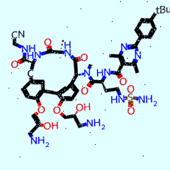 Cc1nc(-c2ccc(C(C)(C)C)cc2)nc(C)c1C(=O)N[C@@H](CCNS(N)(=O)=O)C(=O)N(C)[C@@H]1C(=O)N[C@@H](C)C(=O)N[C@H](C(=O)NCC#N)Cc2ccc(O/C=C(\O)CN)c(c2)-c2cc1ccc2OC[C@H](O)CN